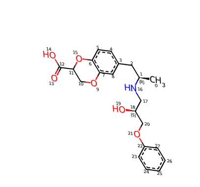 C[C@H](Cc1ccc2c(c1)OCC(C(=O)O)O2)NC[C@H](O)COc1ccccc1